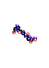 COc1ccc2nccc([C@@H](O)CN3CCC(N(C)C(=O)c4ccc5c(n4)NC(=O)CO5)CC3)c2n1